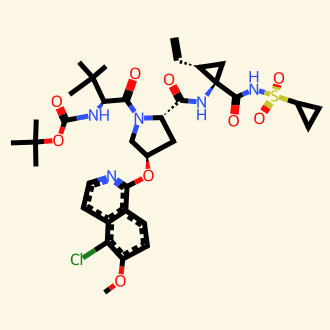 C=C[C@@H]1C[C@]1(NC(=O)[C@@H]1C[C@@H](Oc2nccc3c(Cl)c(OC)ccc23)CN1C(=O)[C@@H](NC(=O)OC(C)(C)C)C(C)(C)C)C(=O)NS(=O)(=O)C1CC1